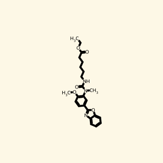 CCOC(=O)CCCCCNC(=O)N(C)c1cc(-c2nc3ccccc3o2)ccc1OC